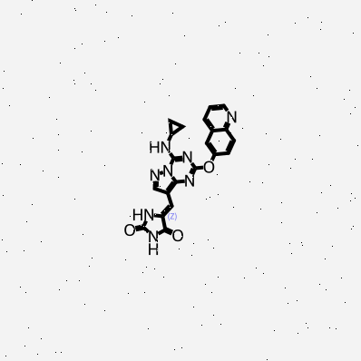 O=C1NC(=O)/C(=C/c2cnn3c(NC4CC4)nc(Oc4ccc5ncccc5c4)nc23)N1